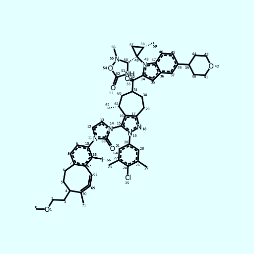 COCCC1CCc2ccc(-n3ccn(-c4c5c(nn4-c4cc(C)c(Cl)c(C)c4)CCC(C(=O)c4cc6cc(C7CCOCC7)ccc6n4[C@@]4(C6NC(=O)ON6C)C[C@@H]4C)C[C@H]5C)c3=O)c(F)c2C=C=C1C